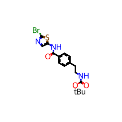 CC(C)(C)OC(=O)NCCc1ccc(C(=O)Nc2cnc(Br)s2)cc1